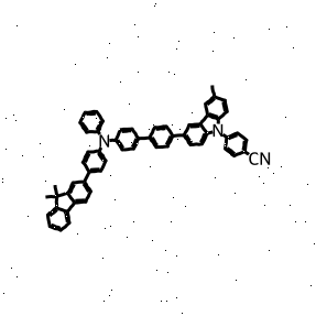 Cc1ccc2c(c1)c1cc(-c3ccc(-c4ccc(N(c5ccccc5)c5ccc(-c6ccc7c(c6)C(C)(C)c6ccccc6-7)cc5)cc4)cc3)ccc1n2-c1ccc(C#N)cc1